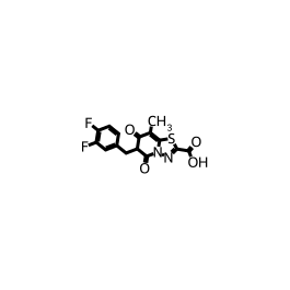 CC1=C2SC(C(=O)O)=NN2C(=O)C(Cc2ccc(F)c(F)c2)C1=O